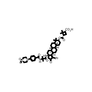 CC(C)C1=C2[C@H]3CC[C@@H]4[C@@]5(C)CC[C@H](OC(=O)[C@H]6C[C@@H](C(=O)O)C6(C)C)C(C)(C)C5CC[C@@]4(C)[C@]3(C)CC[C@@]2(NC(=O)C(C)(C)NC(=O)c2ccc(N3CCS(=O)(=O)CC3)cc2)CC1=O